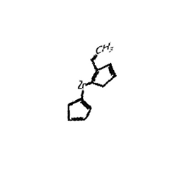 CCC1=[C]([Zr][C]2=CC=CC2)CC=C1